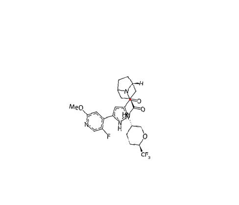 COc1cc(-c2cc(C(=O)N3C4CC[C@@H]3C[C@@H](C(=O)N[C@H]3CC[C@H](C(F)(F)F)OC3)C4)n[nH]2)c(F)cn1